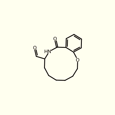 O=CC1CCCCCCOc2ccccc2C(=O)N1